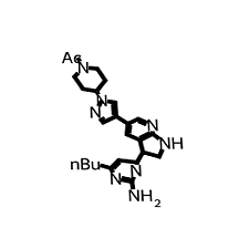 CCCCc1cc(C2CNc3ncc(-c4cnn(C5CCN(C(C)=O)CC5)c4)cc32)nc(N)n1